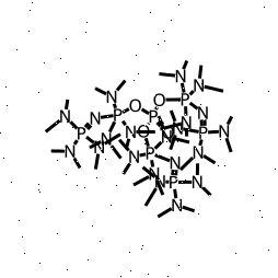 CN(C)P(=NP(OP(=O)(OP(N=P(N(C)C)(N(C)C)N(C)C)(N(C)C)(N(C)C)N(C)C)OP(N=P(N(C)C)(N(C)C)N(C)C)(N(C)C)(N(C)C)N(C)C)(N(C)C)(N(C)C)N(C)C)(N(C)C)N(C)C